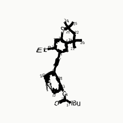 CCc1cc2c(cc1C#Cc1cncc(OC(=O)C(C)CC)c1)C(C)(C)CC(C)(C)S2